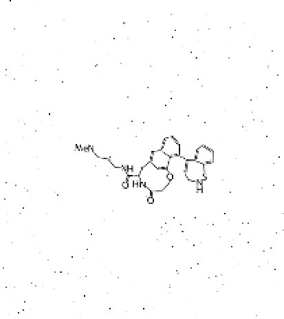 CNCCCNC(=O)[C@H]1Cc2cc(c3c(C4=CCNSc5ccccc54)cccc3c2)OCCC(=O)N1